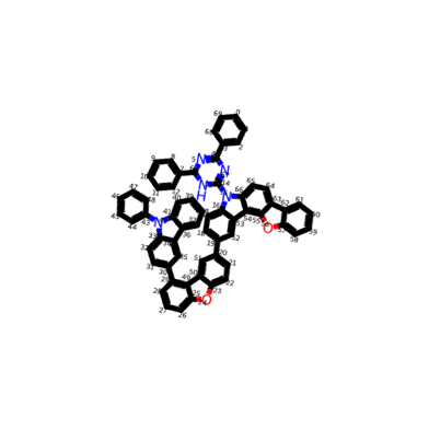 c1ccc(C2=NC(c3ccccc3)NC(n3c4ccc(-c5ccc6oc7cccc(-c8ccc9c(c8)c8ccccc8n9-c8ccccc8)c7c6c5)cc4c4c5oc6ccccc6c5ccc43)=N2)cc1